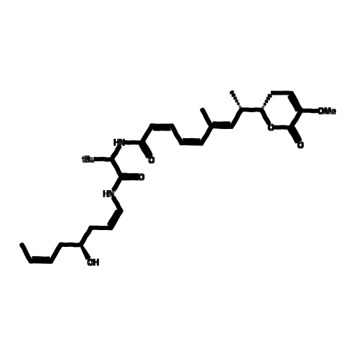 C/C=C\C[C@H](O)C/C=C\NC(=O)C(NC(=O)\C=C/C=C\C(C)=C\[C@H](C)[C@@H]1CC=C(OC)C(=O)O1)C(C)(C)C